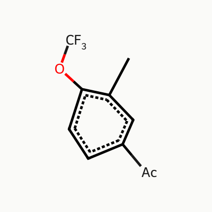 CC(=O)c1ccc(OC(F)(F)F)c(C)c1